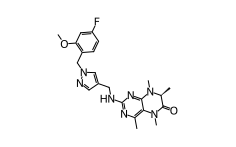 COc1cc(F)ccc1Cn1cc(CNc2nc(C)c3c(n2)N(C)[C@@H](C)C(=O)N3C)cn1